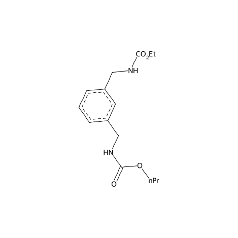 CCCOC(=O)NCc1cccc(CNC(=O)OCC)c1